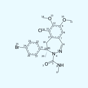 CNC(=O)N1N=Cc2cc(OC)c(OC)c(Cl)c2C[C@]1(C)c1ccc(Br)cc1